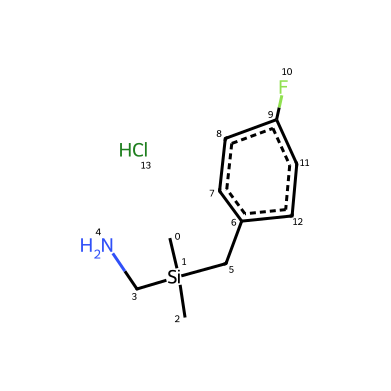 C[Si](C)(CN)Cc1ccc(F)cc1.Cl